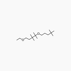 CCOCCC(C)(C)C(C)(C)OCCCC(C)(C)C